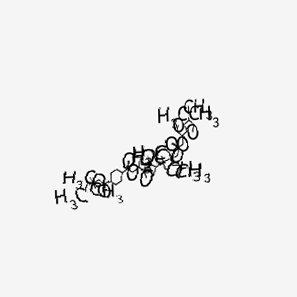 CCCC(C)(C)OC(=O)C1CCC(C(=O)OC2COC3C2OCC3C(C)(CC)C(CC)(CCC)OC(=O)OC2COC3C2OCC3C(C)(C)C)CC1